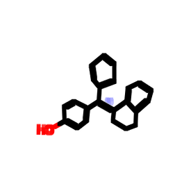 Oc1ccc(/C(=C2\CCCc3ccccc32)c2ccccc2)cc1